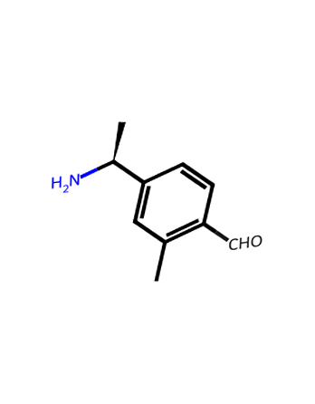 Cc1cc([C@H](C)N)ccc1C=O